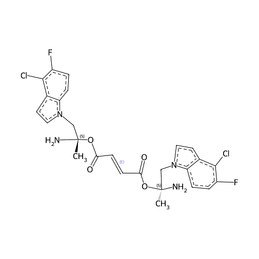 C[C@@](N)(Cn1ccc2c(Cl)c(F)ccc21)OC(=O)/C=C/C(=O)O[C@](C)(N)Cn1ccc2c(Cl)c(F)ccc21